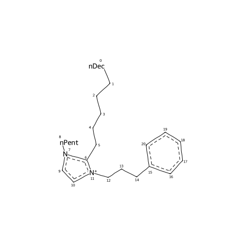 CCCCCCCCCCCCCCCc1n(CCCCC)cc[n+]1CCCc1ccccc1